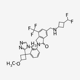 COC1CC(c2cccc(N3Cc4c(cc(CNC5CC(C(F)F)C5)cc4C(F)(F)F)C3=O)c2)(c2nncn2C)C1